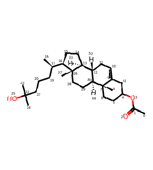 CC(=O)OC1CC[C@@]2(C)C(=CC[C@H]3[C@@H]4CC[C@H]([C@H](C)CCCC(C)(C)O)[C@@]4(C)CC[C@@H]32)C1